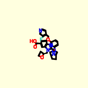 O=C(O)c1ccc2nc(CN3C4CCC3CN(c3cccc(OCc5ccncc5F)n3)C4)n(C[C@@H]3CCO3)c2c1